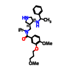 COCCCOc1cc(C(=O)N(C[C@H]2CNC[C@@H]2NC(C)c2ccccc2)C(C)C)ccc1OC